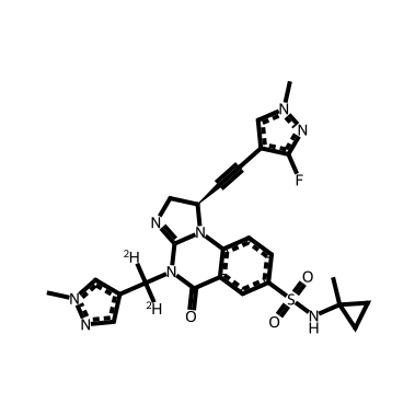 [2H]C([2H])(c1cnn(C)c1)N1C(=O)c2cc(S(=O)(=O)NC3(C)CC3)ccc2N2C1=NC[C@H]2C#Cc1cn(C)nc1F